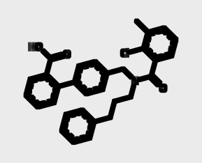 Cc1cccc(C(=O)N(CCCc2ccccc2)Cc2ccc(-c3ccccc3C(=O)O)cc2)c1Cl